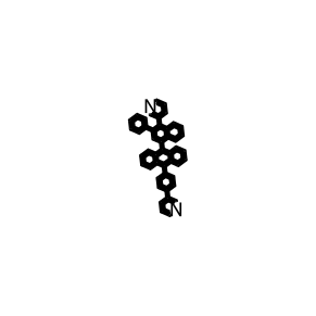 c1ccc(-c2cc(-c3c4ccccc4c(-c4ccc(-c5cccnc5)cc4)c4ccccc34)c3ccccc3c2-c2cccnc2)cc1